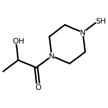 CC(O)C(=O)N1CCN(S)CC1